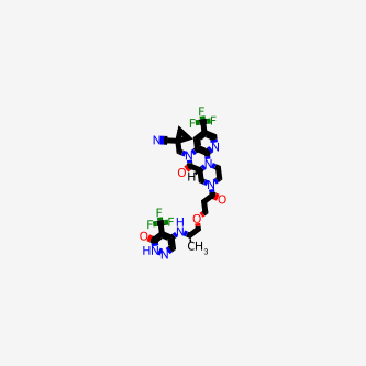 C[C@@H](COCCC(=O)N1CCN2c3ncc(C(F)(F)F)cc3N(CC3(C#N)CC3)C(=O)[C@H]2C1)Nc1cn[nH]c(=O)c1C(F)(F)F